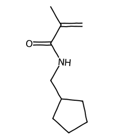 C=C(C)C(=O)NCC1CCCC1